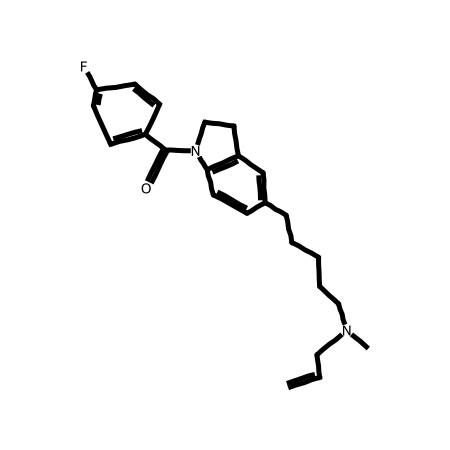 C=CCN(C)CCCCCc1ccc2c(c1)CCN2C(=O)c1ccc(F)cc1